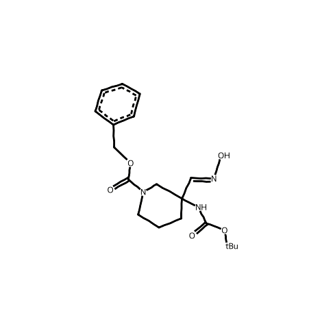 CC(C)(C)OC(=O)NC1(/C=N/O)CCCN(C(=O)OCc2ccccc2)C1